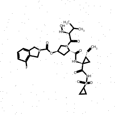 C=C[C@@H]1C[C@]1(NC(=O)[C@@H]1C[C@@H](OC(=O)N2Cc3cccc(F)c3C2)CN1C(=O)[C@@H](NO)C(C)C)C(=O)NS(=O)(=O)C1CC1